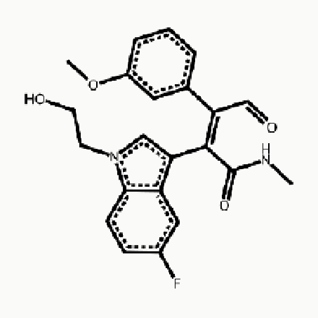 CNC(=O)/C(=C(\C=O)c1cccc(OC)c1)c1cn(CCO)c2ccc(F)cc12